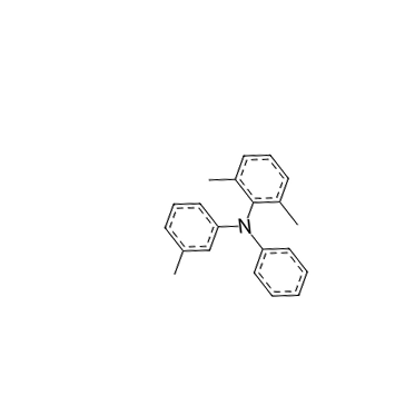 Cc1cccc(N(c2ccccc2)c2c(C)cccc2C)c1